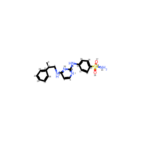 C[C@@H](CNc1ccnc(Nc2ccc(S(N)(=O)=O)cc2)n1)c1ccccc1